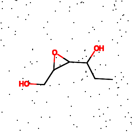 CCC(O)C1OC1CO